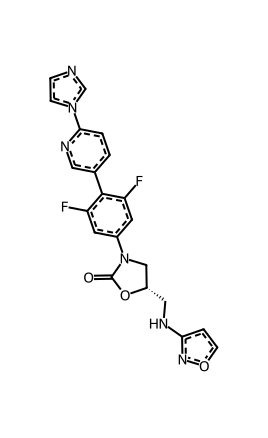 O=C1O[C@@H](CNc2ccon2)CN1c1cc(F)c(-c2ccc(-n3ccnc3)nc2)c(F)c1